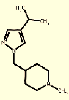 CC(C)c1cnn(CC2CCN(C)CC2)c1